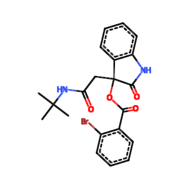 CC(C)(C)NC(=O)CC1(OC(=O)c2ccccc2Br)C(=O)Nc2ccccc21